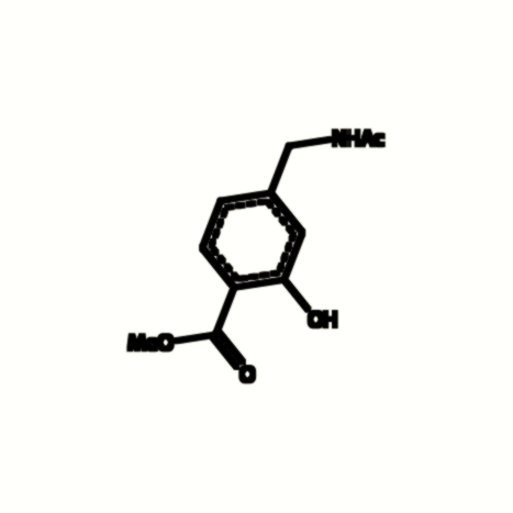 COC(=O)c1ccc(CNC(C)=O)cc1O